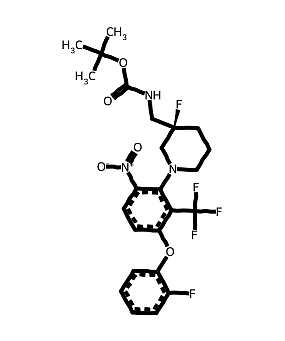 CC(C)(C)OC(=O)NC[C@]1(F)CCCN(c2c([N+](=O)[O-])ccc(Oc3ccccc3F)c2C(F)(F)F)C1